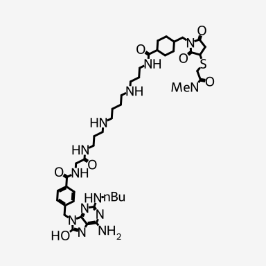 CCCCNc1nc(N)c2nc(O)n(Cc3ccc(C(=O)NCC(=O)NCCCNCCCCNCCCNC(=O)C4CCC(CN5C(=O)CC(SCC(=O)NC)C5=O)CC4)cc3)c2n1